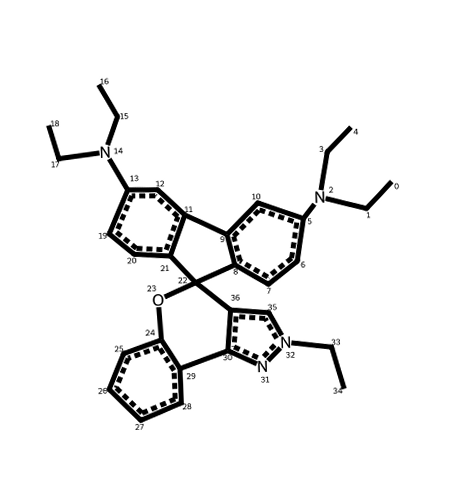 CCN(CC)c1ccc2c(c1)-c1cc(N(CC)CC)ccc1C21Oc2ccccc2-c2nn(CC)cc21